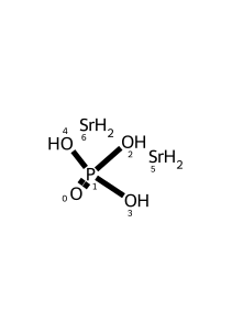 O=P(O)(O)O.[SrH2].[SrH2]